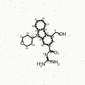 NC(N)=NC(=O)c1cc(CO)c2c3ccccc3n(C3CCOCC3)c2c1